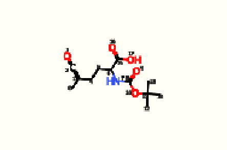 CC(=C=O)CCC(NC(=O)OC(C)(C)C)C(=O)O